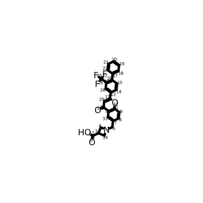 O=C(O)C1CN(Cc2ccc3oc(-c4ccc(-c5ccccc5)c(C(F)(F)F)c4)cc(=O)c3c2)C1